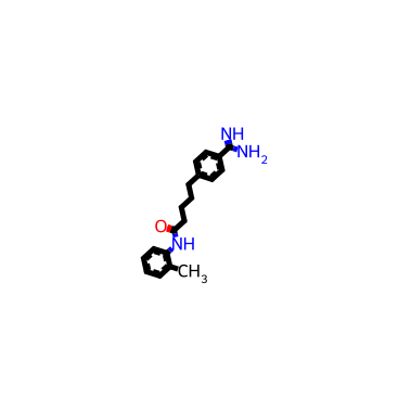 Cc1ccccc1NC(=O)CCCCc1ccc(C(=N)N)cc1